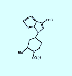 CC(C)(C)C1CC(n2cc(C=O)c3cccnc32)CCN1C(=O)O